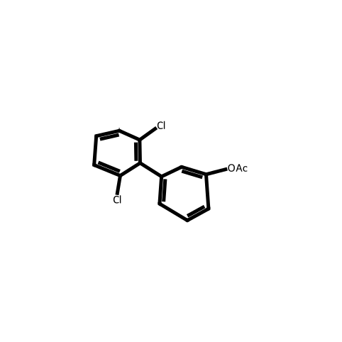 CC(=O)Oc1cccc(-c2c(Cl)[c]ccc2Cl)c1